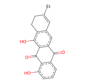 CCC1=Cc2cc3c(c(O)c2CC1)C(=O)c1c(O)cccc1C3=O